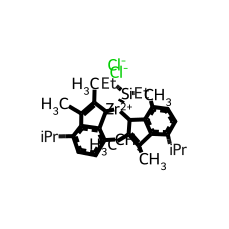 CC[Si](CC)=[Zr+2]([CH]1C(C)=C(C)c2c(C(C)C)ccc(C)c21)[CH]1C(C)=C(C)c2c(C(C)C)ccc(C)c21.[Cl-].[Cl-]